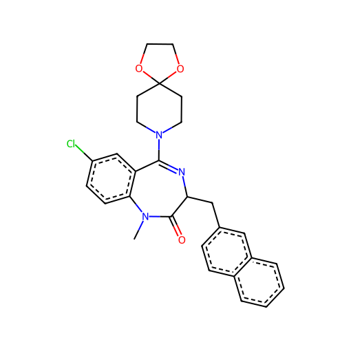 CN1C(=O)C(Cc2ccc3ccccc3c2)N=C(N2CCC3(CC2)OCCO3)c2cc(Cl)ccc21